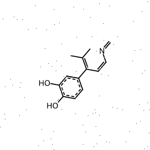 C=N/C=C\C(=C(C)C)c1ccc(O)c(O)c1